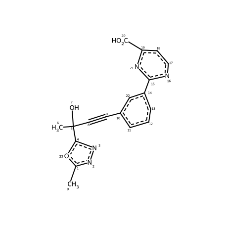 Cc1nnc(C(C)(O)C#Cc2cccc(-c3nccc(C(=O)O)n3)c2)o1